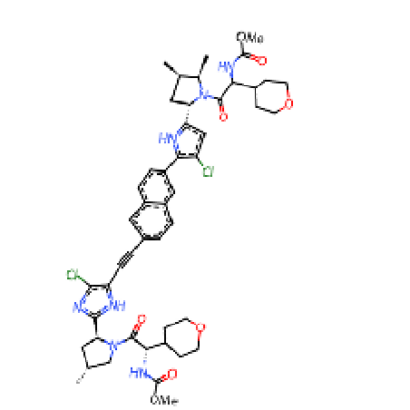 COC(=O)N[C@H](C(=O)N1C[C@H](C)C[C@H]1c1nc(Cl)c(C#Cc2ccc3cc(-c4[nH]c([C@@H]5C[C@@H](C)[C@@H](C)N5C(=O)[C@@H](NC(=O)OC)C5CCOCC5)cc4Cl)ccc3c2)[nH]1)C1CCOCC1